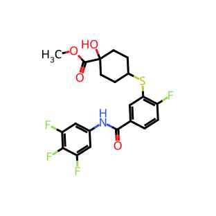 COC(=O)C1(O)CCC(Sc2cc(C(=O)Nc3cc(F)c(F)c(F)c3)ccc2F)CC1